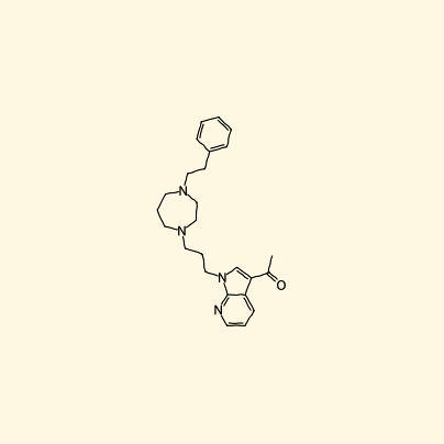 CC(=O)c1cn(CCCN2CCCN(CCc3ccccc3)CC2)c2ncccc12